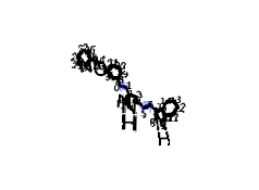 C(=C\c1cc(/C=C/c2c[nH]c3ccccc23)[nH]n1)/c1cccc(OCc2ccccn2)c1